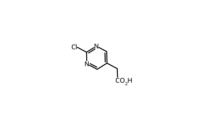 O=C(O)Cc1cnc(Cl)nc1